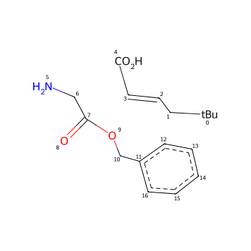 CC(C)(C)CC=CC(=O)O.NCC(=O)OCc1ccccc1